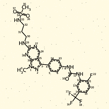 Cn1nc(-c2ccc(NC(=O)Nc3cc(C(F)(F)F)ccc3F)cc2)c2cnc(NCCCNS(C)(=O)=O)nc21